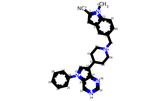 Cn1c(C#N)cc2cc(CN3CCC(c4cn(-c5ccccc5)c5cncnc45)CC3)ccc21